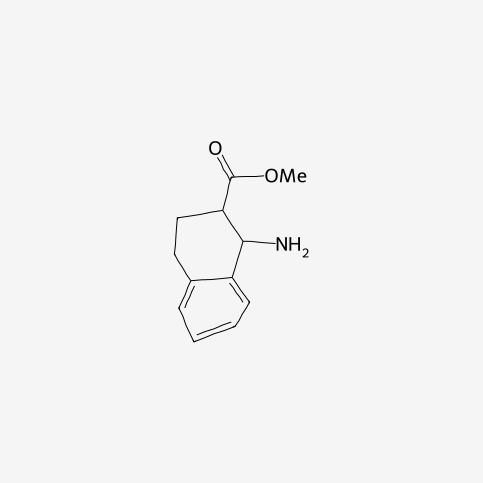 COC(=O)C1CCc2ccccc2C1N